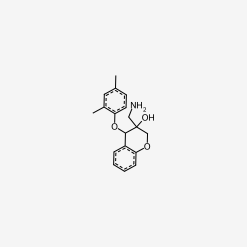 Cc1ccc(OC2c3ccccc3OCC2(O)CN)c(C)c1